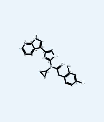 O=C(Cc1ccc(F)cc1F)N(c1nc(-c2c[nH]c3ncccc23)cs1)C1CC1